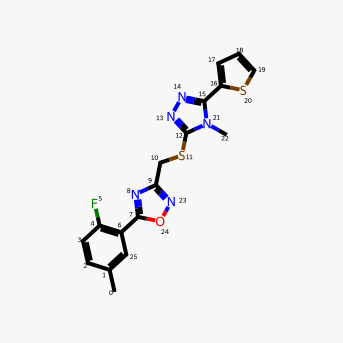 Cc1ccc(F)c(-c2nc(CSc3nnc(-c4cccs4)n3C)no2)c1